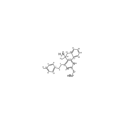 CCCCSc1nc(CCc2ccc(C)cc2)c2c(n1)-c1ccccc1CC2(C)N